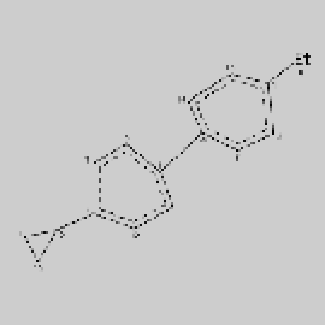 CCc1ccc(-c2c[c]c(C3CC3)cc2)cc1